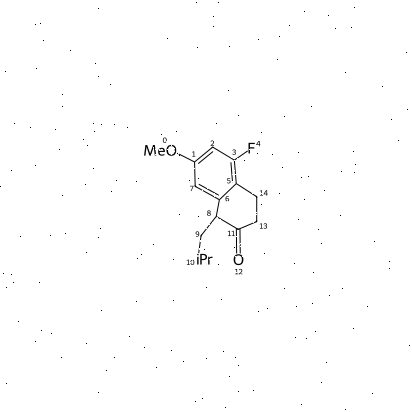 COc1cc(F)c2c(c1)C(CC(C)C)C(=O)CC2